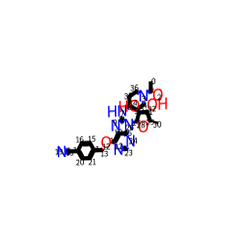 CC(=O)N1CCC(Nc2nc3c(OCc4ccc(C#N)cc4)ncnc3n2[C@@H]2O[C@H](C)[C@@H](O)[C@H]2O)CC1